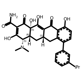 CC(C)c1cccc(-c2ccc(O)c3c2C[C@@H]2C[C@@H]4[C@H](N(C)C)C(O)=C(C(N)=O)C(=O)[C@@]4(O)C(O)=C2C3=O)c1